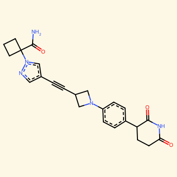 NC(=O)C1(n2cc(C#CC3CN(c4ccc(C5CCC(=O)NC5=O)cc4)C3)cn2)CCC1